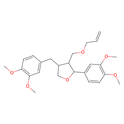 C=CCOCC1C(Cc2ccc(OC)c(OC)c2)COC1c1ccc(OC)c(OC)c1